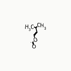 CC(C)C=CO[C]=O